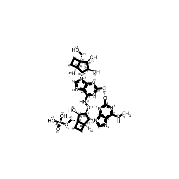 CNc1nc(Cl)nc2c1ncn2[C@H]1[C@H](ONc2nc(Cl)nc3c2ncn3[C@H]2[C@H](O)[C@H](O)[C@]3(CO)CC[C@H]23)[C@H](O)[C@]2(COP(=O)(O)O)CC[C@H]12